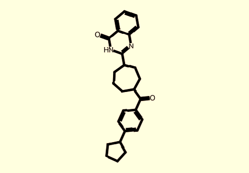 O=C(c1ccc(C2CCCC2)cc1)C1CCCC(c2nc3ccccc3c(=O)[nH]2)CC1